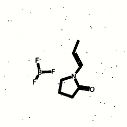 CC=CN1CCCC1=O.FB(F)F